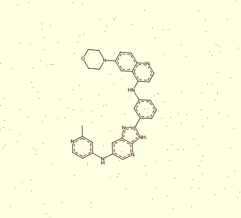 Cc1cc(Nc2cnc3[nH]c(-c4cccc(Nc5ccnc6ccc(N7CCOCC7)cc56)c4)nc3c2)ccn1